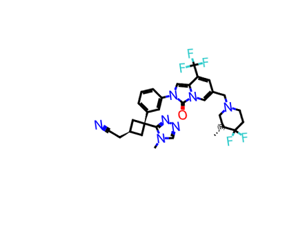 C[C@@H]1CN(Cc2cc(C(F)(F)F)c3cn(-c4cccc([C@]5(c6nncn6C)C[C@H](CC#N)C5)c4)c(=O)n3c2)CCC1(F)F